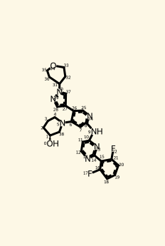 O[C@H]1CCCN(c2cc(Nc3ccnc(-c4c(F)cccc4F)n3)ncc2-c2cnn(C3CCOCC3)c2)C1